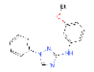 CCOc1cccc(Nc2ncn(-c3ccccc3)n2)c1